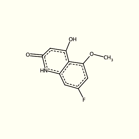 COc1cc(F)cc2[nH]c(=O)cc(O)c12